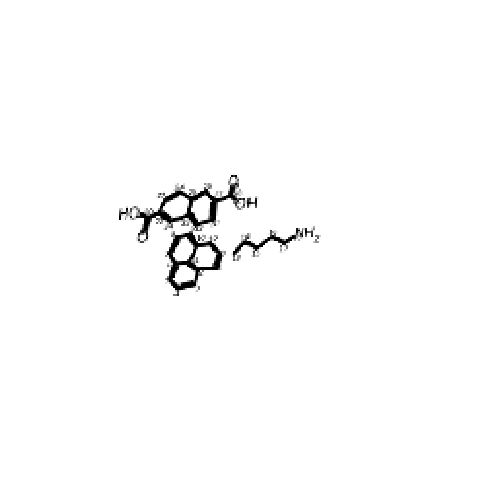 C1=Cc2cccc3cccc(c23)C1.CCCCCN.O=C(O)c1ccc2cc(C(=O)O)ccc2c1